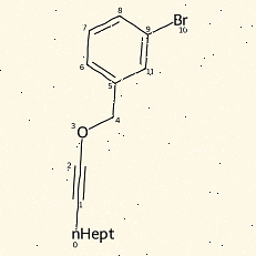 CCCCCCCC#COCc1cccc(Br)c1